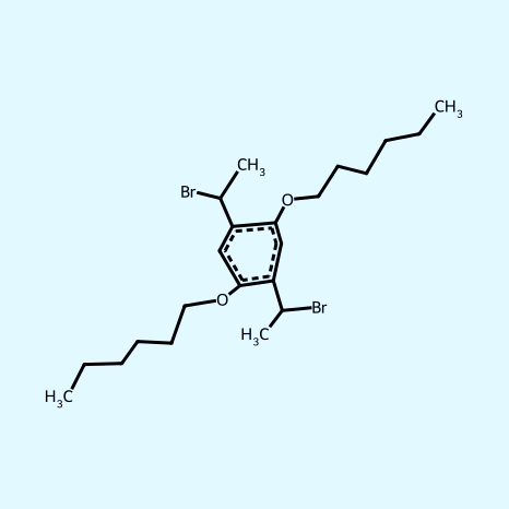 CCCCCCOc1cc(C(C)Br)c(OCCCCCC)cc1C(C)Br